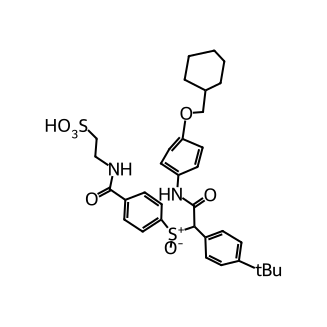 CC(C)(C)c1ccc(C(C(=O)Nc2ccc(OCC3CCCCC3)cc2)[S+]([O-])c2ccc(C(=O)NCCS(=O)(=O)O)cc2)cc1